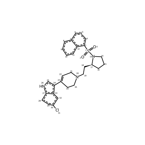 O=S(=O)(c1cncc2ccccc12)N1CCC[C@H]1CCN1CC=C(c2c[nH]c3ccc(Cl)cc23)CC1